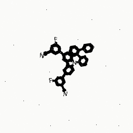 N#Cc1cc(F)cc(-c2ccc3c(c2)c2cc(-c4cc(F)cc(C#N)c4)ccc2n3-c2ccccc2-c2ccccc2-c2ccccc2)c1